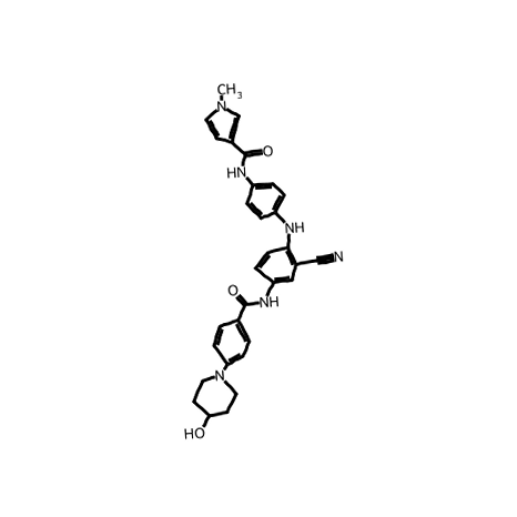 Cn1ccc(C(=O)Nc2ccc(Nc3ccc(NC(=O)c4ccc(N5CCC(O)CC5)cc4)cc3C#N)cc2)c1